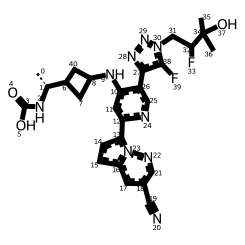 C[C@@H](NC(=O)O)C1CC(Nc2cc(-c3ccc4cc(C#N)cnn34)ncc2-c2nnn(CC(F)C(C)(C)O)c2F)C1